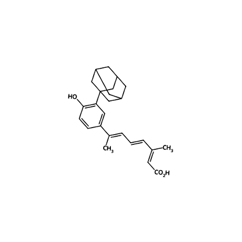 CC(C=CC=C(C)c1ccc(O)c(C23CC4CC(CC(C4)C2)C3)c1)=CC(=O)O